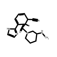 CNC1CCCN(C(=O)C2(F)C(c3ncc[nH]3)=CC=CC2C#N)C1